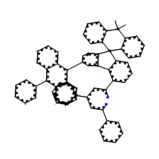 CC1(C)c2ccccc2C2(c3ccc(-c4c5ccccc5c(-c5ccccc5)c5ccccc45)cc3-c3c(-c4cc(-c5ccccc5)cc(-c5ccccc5)n4)cccc32)c2ccccc21